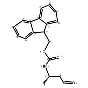 C[C@H](C[C]=O)NC(=O)OCC1c2ccccc2-c2ccccc21